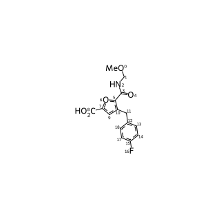 COCNC(=O)c1oc(C(=O)O)cc1Cc1ccc(F)cc1